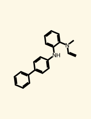 C=CN(C)c1ccccc1Nc1ccc(-c2ccccc2)cc1